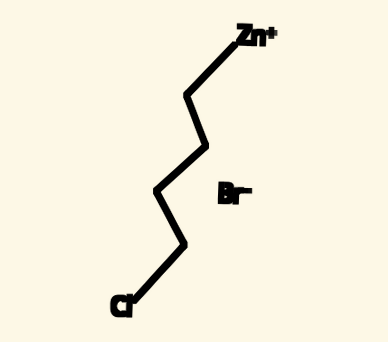 ClCCC[CH2][Zn+].[Br-]